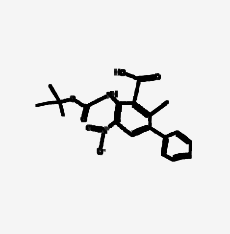 Cc1c(-c2ccccc2)cc([N+](=O)[O-])c(NC(=O)OC(C)(C)C)c1C(=O)O